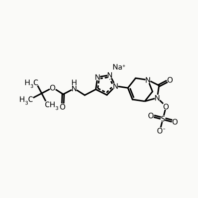 CC(C)(C)OC(=O)NCc1cn(C2=CC3CN(C2)C(=O)N3OS(=O)(=O)[O-])nn1.[Na+]